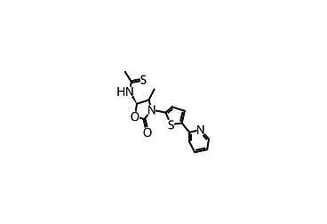 CC(=S)N[C@@H]1OC(=O)N(c2ccc(-c3ccccn3)s2)C1C